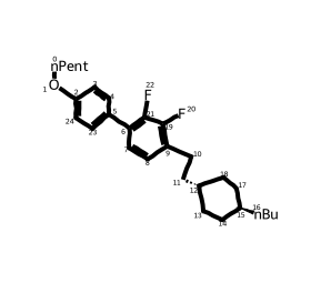 CCCCCOc1ccc(-c2ccc(CC[C@H]3CC[C@H](CCCC)CC3)c(F)c2F)cc1